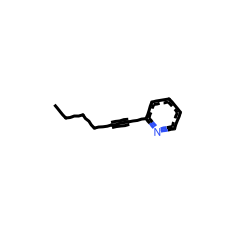 CCCCC#Cc1ccccn1